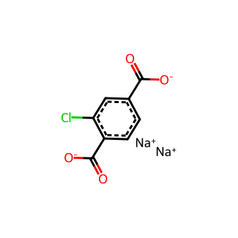 O=C([O-])c1ccc(C(=O)[O-])c(Cl)c1.[Na+].[Na+]